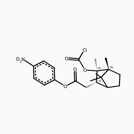 CC1(C)C2CC[C@@]1(C)[C@](C)(OC(=O)Cl)[C@H]2CC(=O)Oc1ccc([N+](=O)[O-])cc1